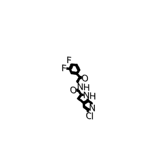 O=C(CNC(=O)C1Cc2cc(Cl)ncc2N1)c1ccc(F)c(F)c1